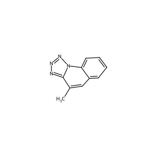 Cc1cc2ccccc2n2nnnc12